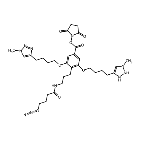 CN1C=C(CCCCOc2cc(C(=O)ON3C(=O)CCC3=O)cc(OCCCCc3cn(C)nn3)c2CCCNC(=O)CCCN=[N+]=[N-])NN1